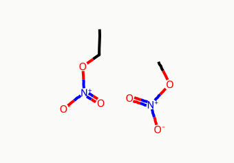 CCO[N+](=O)[O-].CO[N+](=O)[O-]